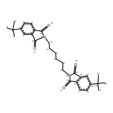 CC(C)(C)c1ccc2c(c1)C(=O)N(CCCCCCN1C(=O)c3ccc(C(C)(C)C)cc3C1=O)C2=O